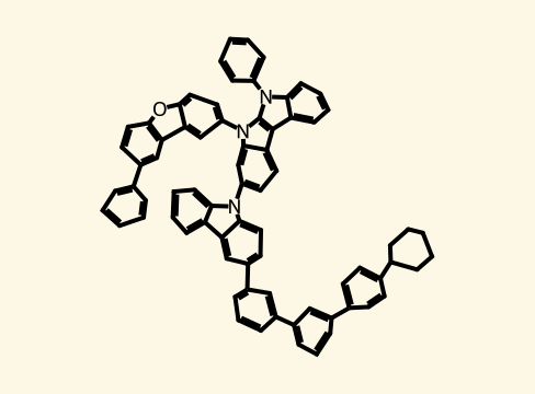 c1ccc(-c2ccc3oc4ccc(-n5c6cc(-n7c8ccccc8c8cc(-c9cccc(-c%10cccc(-c%11ccc(C%12CCCCC%12)cc%11)c%10)c9)ccc87)ccc6c6c7ccccc7n(-c7ccccc7)c65)cc4c3c2)cc1